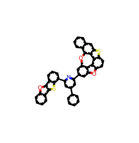 c1ccc(-c2cc(-c3cc4oc5ccc6sc7cc8ccccc8c8oc(c3)c4c5c6c78)nc(-c3cccc4c3sc3c5ccccc5oc43)c2)cc1